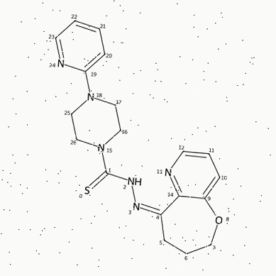 S=C(N/N=C1/CCCOc2cccnc21)N1CCN(c2ccccn2)CC1